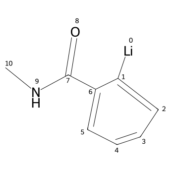 [Li][c]1ccccc1C(=O)NC